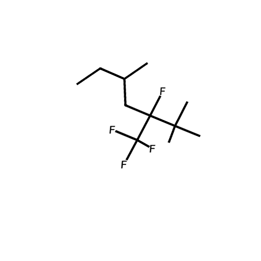 CCC(C)CC(F)(C(C)(C)C)C(F)(F)F